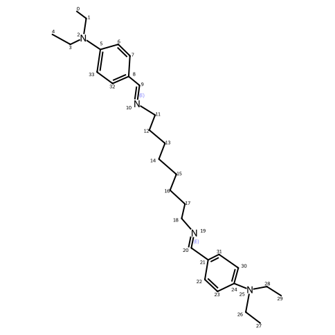 CCN(CC)c1ccc(/C=N/CCCCCCCC/N=C/c2ccc(N(CC)CC)cc2)cc1